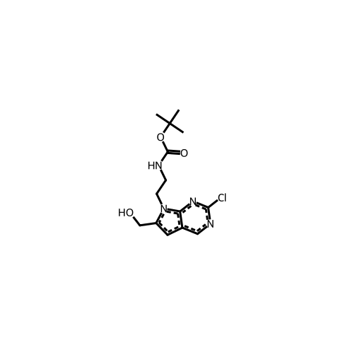 CC(C)(C)OC(=O)NCCn1c(CO)cc2cnc(Cl)nc21